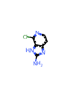 Nc1nc2ccnc(Cl)c2[nH]1